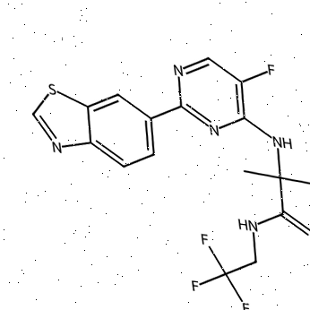 CC(C)(Nc1nc(-c2ccc3ncsc3c2)ncc1F)C(=O)NCC(F)(F)F